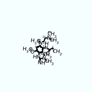 C=CC(=O)Nc1cc(NC(=N)N(C)C)c(OC)cc1N(C)CCN(C)C